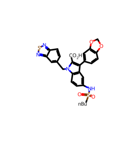 CCCCS(=O)(=O)Nc1ccc2c(c1)c(-c1ccc3c(c1)OCO3)c(C(=O)O)n2Cc1ccc2nsnc2c1